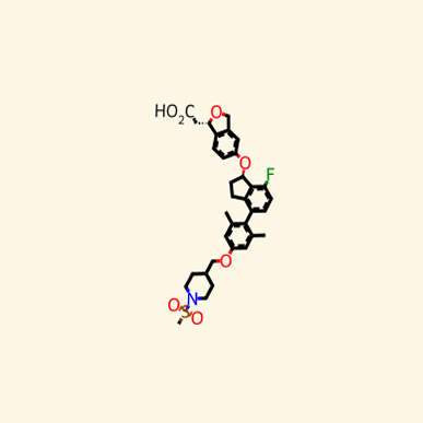 Cc1cc(OCC2CCN(S(C)(=O)=O)CC2)cc(C)c1-c1ccc(F)c2c1CC[C@H]2Oc1ccc2c(c1)CO[C@H]2CC(=O)O